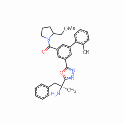 COCC1CCCN1C(=O)c1cc(-c2nnc([C@@](C)(N)Cc3ccccc3)o2)cc(-c2ccccc2C#N)c1